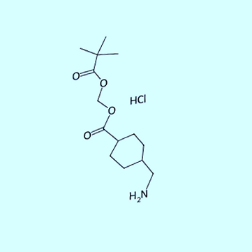 CC(C)(C)C(=O)OCOC(=O)C1CCC(CN)CC1.Cl